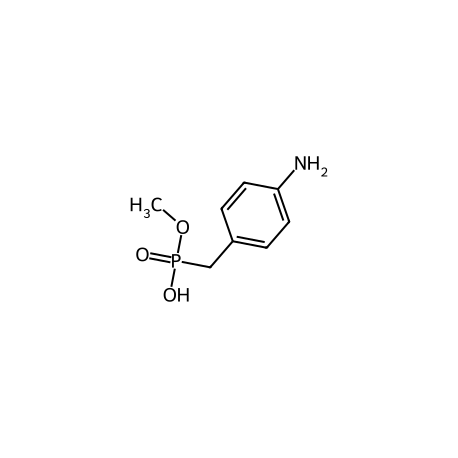 COP(=O)(O)Cc1ccc(N)cc1